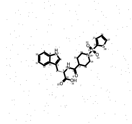 O=C(N[C@@H](Cc1c[nH]c2ccccc12)C(=O)O)C1CCN(S(=O)(=O)c2cccs2)CC1